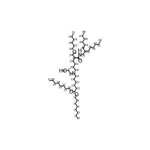 CCCCCCCCOC(CCCCCN(CCO)CCCCC(COCCCCCC)C(=O)NCC(CCCCCC)CCCCCC)OCCCCCCCC